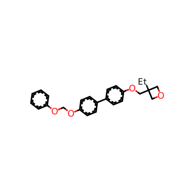 CCC1(COc2ccc(-c3ccc(OCOc4ccccc4)cc3)cc2)COC1